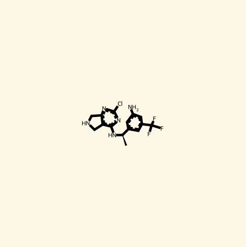 C[C@@H](Nc1nc(Cl)nc2c1CNC2)c1cc(N)cc(C(F)(F)F)c1